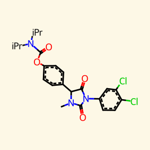 CC(C)N(C(=O)Oc1ccc(C2C(=O)N(c3ccc(Cl)c(Cl)c3)C(=O)N2C)cc1)C(C)C